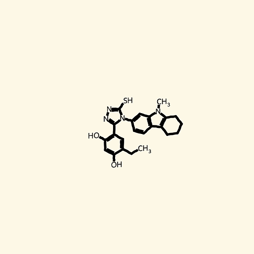 CCc1cc(-c2nnc(S)n2-c2ccc3c4c(n(C)c3c2)CCCC4)c(O)cc1O